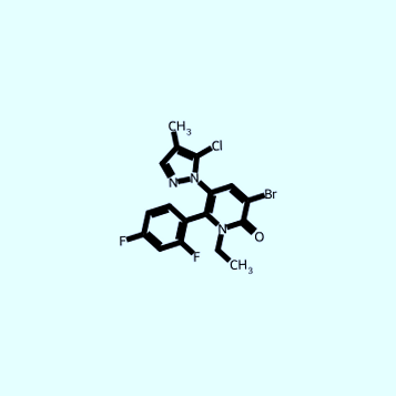 CCn1c(-c2ccc(F)cc2F)c(-n2ncc(C)c2Cl)cc(Br)c1=O